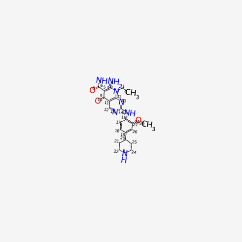 CCn1c(N)c(C(N)=O)c(=O)c2cnc(Nc3ccc(C4CCNCC4)cc3OC)nc21